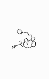 N#Cc1cc(CCCc2ccccc2)c(-c2ccc(-c3sccc3CCCc3ccccc3)s2)s1